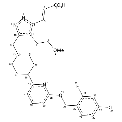 COCCn1c(/C=C/C(=O)O)nnc1CN1CCC(c2cccc(OCc3ccc(Cl)cc3F)n2)CC1